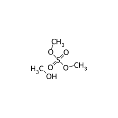 CO.COS(=O)(=O)OC